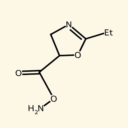 CCC1=NCC(C(=O)ON)O1